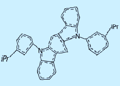 CC(C)c1cccc(-n2c3ccccc3c3cc4c(cc32)c2ccccc2n4-c2cccc(C(C)C)c2)c1